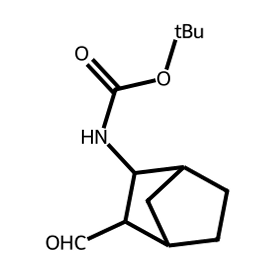 CC(C)(C)OC(=O)NC1C2CCC(C2)C1C=O